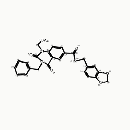 CC(=O)OCn1c(=O)n(Cc2ccccc2)c(=O)c2cc(C(=O)NCc3ccc4c(c3)OCO4)ccc21